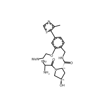 CNCCOc1cc(-c2scnc2C)ccc1CNC(=O)[C@@H]1C[C@@H](O)CN1C(=O)C(N)C(C)(C)C